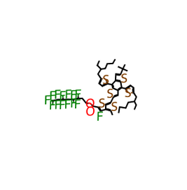 CCCCC(CC)Cc1ccc(-c2c3cc(C(C)(C)C)sc3c(-c3ccc(CC(CC)CCCC)s3)c3cc(-c4sc(C)c5c(F)c(C(=O)OCCC(F)(F)C(F)(F)C(F)(F)C(F)(F)C(F)(F)C(F)(F)F)sc45)sc23)s1